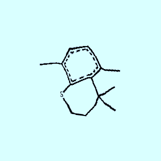 Cc1ccc(C)c2c1SCCC2(C)C